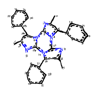 Cc1nc2n(c1-c1ccccc1)c1nc(C)c(-c3ccccc3)n1c1nc(C)c(-c3ccccc3)n21